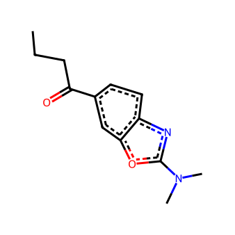 CCCC(=O)c1ccc2nc(N(C)C)oc2c1